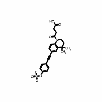 CC1(C)CCN(C(=O)CCC(=O)O)c2ccc(C#Cc3ccc(OS(=O)(=O)F)cc3)cc21